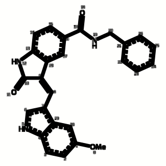 COc1ccc2[nH]cc(C=C3C(=O)Nc4ccc(C(=O)NCc5ccccc5)cc43)c2c1